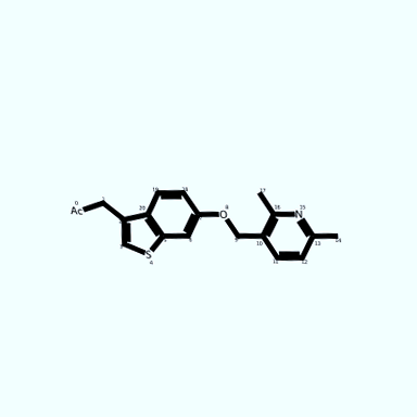 CC(=O)Cc1csc2cc(OCc3ccc(C)nc3C)ccc12